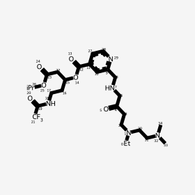 CCN(CCC(=O)CNCc1cc(C(=O)OC(CCNC(=O)C(F)(F)F)CC(=O)OC(C)C)ccn1)CCN(C)C